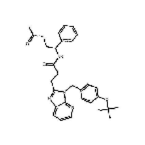 CC(=O)SC[C@H](NC(=O)CCc1nc2cccnc2n1Cc1ccc(OC(F)(F)F)cc1)c1ccccc1